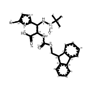 CC(C)(C)[S@+]([O-])NC(c1nc(Br)cs1)C(NC(=O)OCC1c2ccccc2-c2ccccc21)C(=O)O